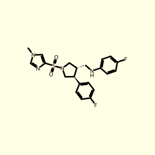 Cn1cnc(S(=O)(=O)N2C[C@H](CNc3ccc(F)cc3)[C@@H](c3ccc(F)cc3)C2)c1